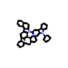 c1ccc(-n2c3ccccc3c3cc(-n4c5ccc6ccccc6c5c5cc6c7c(c54)-c4ccccc4C(CC7)c4ccccc4-6)ncc32)cc1